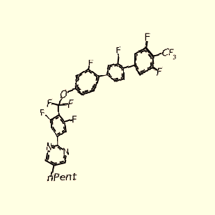 CCCCCc1cnc(-c2cc(F)c(C(F)(F)Oc3ccc(-c4ccc(-c5cc(F)c(C(F)(F)F)c(F)c5)c(F)c4)c(F)c3)c(F)c2)nc1